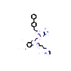 COc1cc(C)c(C[C@H](NC(=O)[C@H](N)CCCn2ccnc2N)C(=O)N[C@@H](Cc2cn(C)cn2)c2nc(Cc3ccc(-c4ccccc4)cc3)no2)c(C)c1